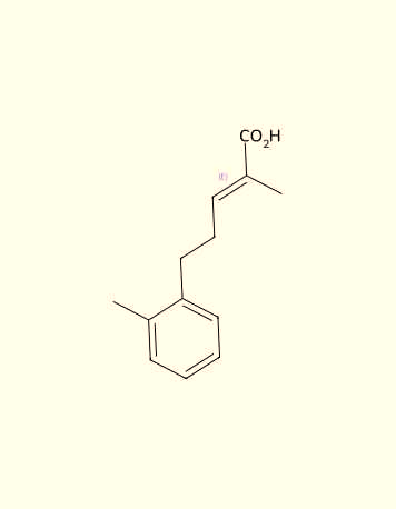 C/C(=C\CCc1ccccc1C)C(=O)O